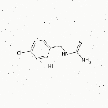 I.NC(=S)NCc1ccc(Cl)cc1